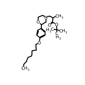 CCCCCCCCOc1ccc(C2CN(CC(C)C(=O)OC(C)(C)C)CCO2)cc1